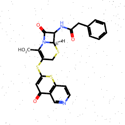 O=C(Cc1ccccc1)NC1C(=O)N2C(C(=O)O)=C(Sc3cc(=O)c4cnccc4s3)CS[C@H]12